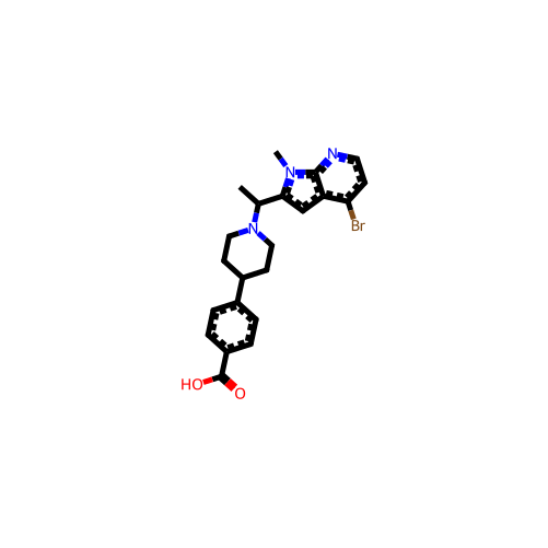 CC(c1cc2c(Br)ccnc2n1C)N1CCC(c2ccc(C(=O)O)cc2)CC1